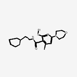 CCSc1nc(N2CCOCC2)cc(C)c1C(=O)NCCC1CCCCC1